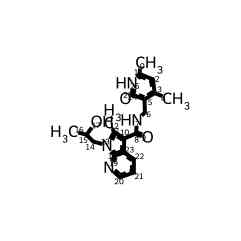 Cc1cc(C)c(CNC(=O)c2c(C)n(CC(C)O)c3ncccc23)c(=O)[nH]1